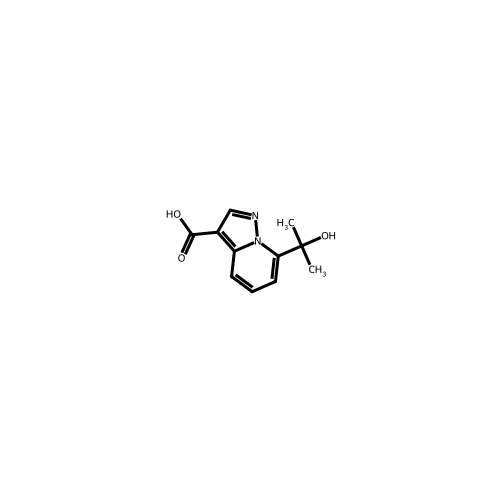 CC(C)(O)c1cccc2c(C(=O)O)cnn12